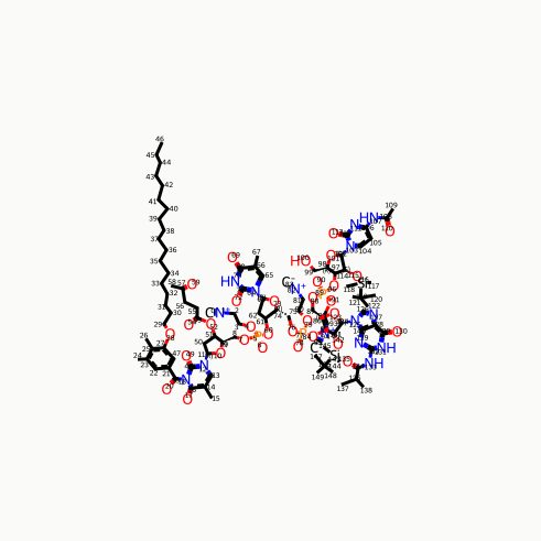 [C-]#[N+]CCOP(=O)(OC[C@H]1O[C@@H](n2cc(C)c(=O)n(C(=O)c3cc(C)c(C)c(OCCCCCCCCCCCCCCCCCC)c3)c2=O)CC1OC(=O)CCC(C)=O)OC1C[C@H](n2cc(C)c(=O)[nH]c2=O)O[C@@H]1COP(=O)(OCC[N+]#[C-])OC1[C@@H](COP(=O)(OCC[N+]#[C-])OC2[C@@H](CO)O[C@@H](n3ccc(NC(C)=O)nc3=O)[C@H]2O[Si](C)(C)C(C)(C)C)O[C@@H](n2cnc3c(=O)[nH]c(NC(=O)C(C)C)nc32)[C@H]1O[Si](C)(C)C(C)(C)C